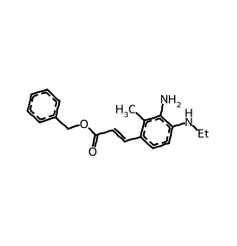 CCNc1ccc(/C=C/C(=O)OCc2ccccc2)c(C)c1N